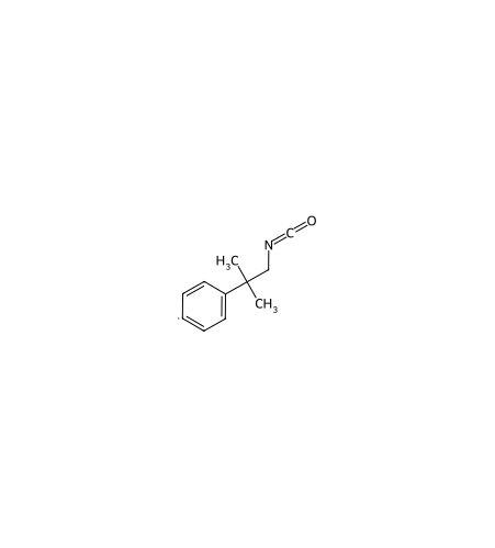 CC(C)(CN=C=O)c1cc[c]cc1